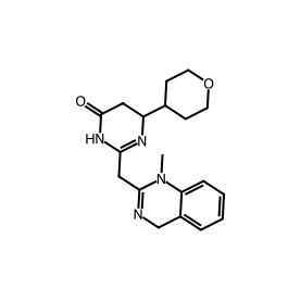 CN1C(CC2=NC(C3CCOCC3)CC(=O)N2)=NCc2ccccc21